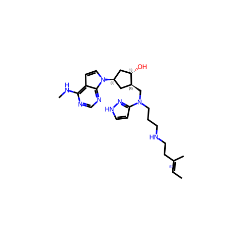 C/C=C(\C)CCNCCCN(C[C@H]1C[C@@H](n2ccc3c(NC)ncnc32)C[C@@H]1O)c1cc[nH]n1